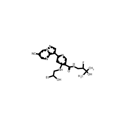 CCC(O)CNc1cc(-c2cnn3cc(C#N)cnc23)ncc1C(=O)NCC(F)C(C)(C)O